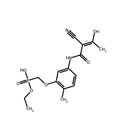 CCOP(=O)(O)COc1cc(NC(=O)/C(C#N)=C(\C)O)ccc1C